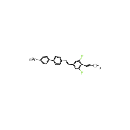 CCCc1ccc(-c2ccc(/C=C/c3cc(F)c(C#CC(F)(F)F)c(F)c3)cc2)cc1